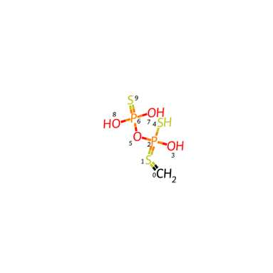 C=S=P(O)(S)OP(O)(O)=S